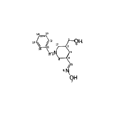 OCC1CC(C=NO)CN(Cc2ccccc2)C1